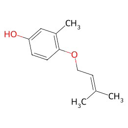 CC(C)=CCOc1ccc(O)cc1C